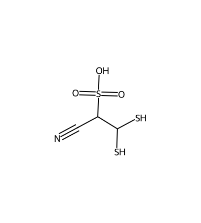 N#CC(C(S)S)S(=O)(=O)O